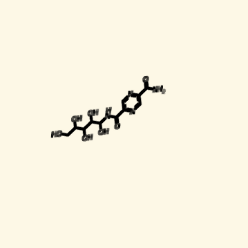 NC(=O)c1cnc(C(=O)NC(O)C(O)C(O)C(O)CO)cn1